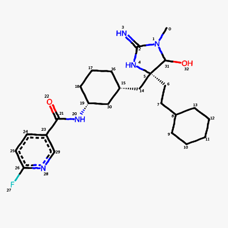 CN1C(=N)N[C@](CCC2CCCCC2)(C[C@H]2CCC[C@@H](NC(=O)c3ccc(F)nc3)C2)C1O